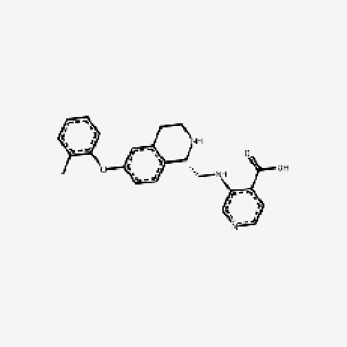 Cc1ccccc1Oc1ccc2c(c1)CCN[C@@H]2CNc1cnccc1C(=O)O